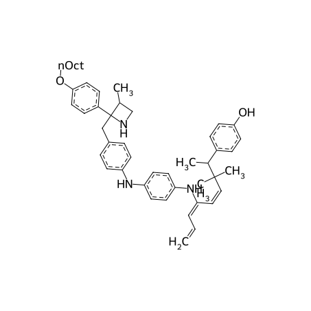 C=C/C=C(\C=C/C(C)(C)C(C)c1ccc(O)cc1)Nc1ccc(Nc2ccc(CC3(c4ccc(OCCCCCCCC)cc4)NCC3C)cc2)cc1